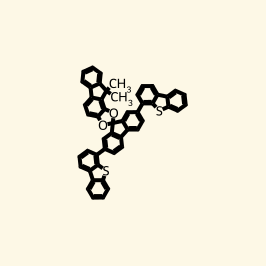 CC1(C)c2ccccc2-c2ccc3c(c21)OC1(O3)c2cc(-c3cccc4c3sc3ccccc34)ccc2-c2ccc(-c3cccc4c3sc3ccccc34)cc21